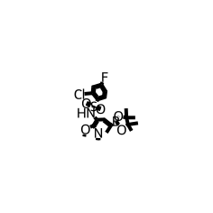 C=N/C(OC)=C(\C=C(/C)B1OC(C)(C)C(C)(C)O1)NS(=O)(=O)c1ccc(F)cc1Cl